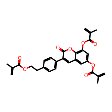 C=C(C)C(=O)OCCc1ccc(-c2cc3cc(OC(=O)C(=C)C)cc(OC(=O)C(=C)C)c3oc2=O)cc1